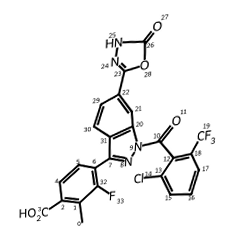 Cc1c(C(=O)O)ccc(-c2nn(C(=O)c3c(Cl)cccc3C(F)(F)F)c3cc(-c4n[nH]c(=O)o4)ccc23)c1F